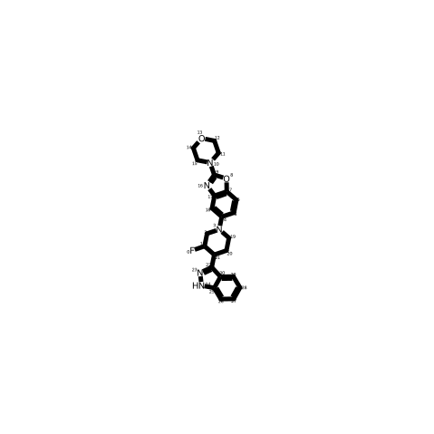 FC1CN(c2ccc3oc(N4CCOCC4)nc3c2)CCC1c1n[nH]c2ccccc12